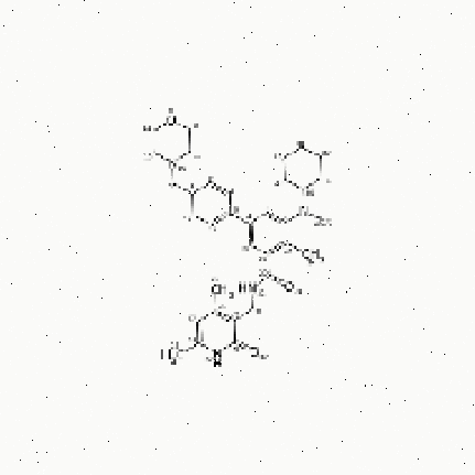 CCN(c1cc(-c2ccc(CN3CCOCC3)cc2)cc(C(=O)NCc2c(C)cc(C)[nH]c2=O)c1C)C1CCCCC1